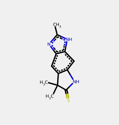 Cc1nc2cc3c(cc2[nH]1)NC(=S)C3(C)C